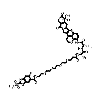 CC[C@@]1(O)C(=O)OCc2c1cc1n(c2=O)Cc2c-1nc1ccc(NC(=O)[C@H](C)NC(=O)[C@@H](NC(=O)CCOCCOCCOCCOCCNC(=O)c3cc4sc(S(C)(=O)=O)nc4cc3F)C(C)C)c3c1c2CCO3